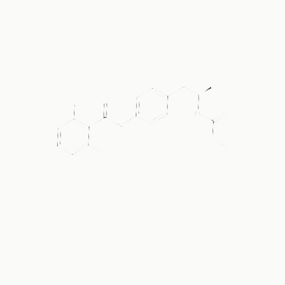 CC(C)(C)OC(=O)N[C@@H](Cc1ccc(NC(=O)c2c(Cl)cccc2Cl)cc1)C(=O)O